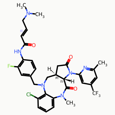 Cc1cc(C(F)(F)F)cc(N2C(=O)C[C@@H]3CN(Cc4ccc(NC(=O)/C=C/CN(C)C)c(F)c4)c4c(Cl)cccc4N(C)C(=O)[C@H]32)n1